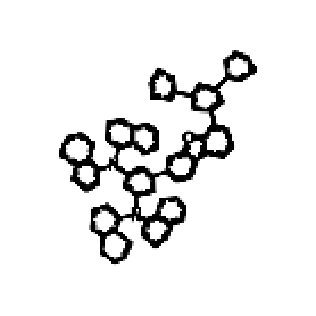 C1=Cc2c(cccc2N(c2cc(-c3ccc4c(c3)oc3c(-c5cc(-c6ccccc6)cc(-c6ccccc6)c5)cccc34)cc(N(c3cccc4ccccc34)c3cccc4ccccc34)c2)c2cccc3ccccc23)CC1